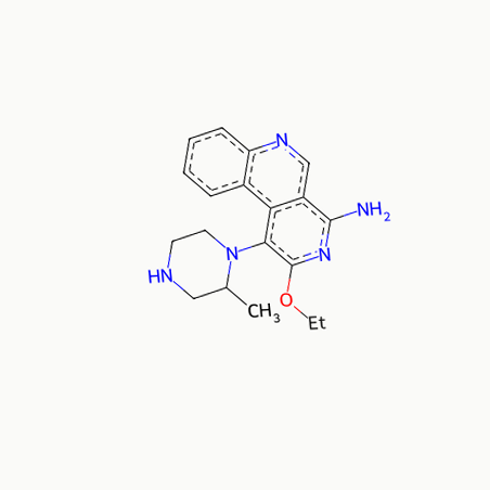 CCOc1nc(N)c2cnc3ccccc3c2c1N1CCNCC1C